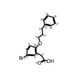 O=C(O)Cc1cc(Br)ccc1OCCCc1ccccc1